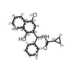 O=C(NC(c1cccnc1)c1cc(Cl)c2cccnc2c1O)C1CC1